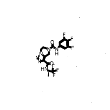 C[C@@H](NC(=O)c1nnn2c1CN(C(=O)Nc1cc(F)c(F)c(F)c1)CC2)C(F)(F)F